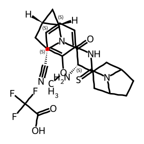 COc1ccccc1NC(=S)N1C2CCC1CC([C@H](N)C(=O)N1[C@H](C#N)C[C@@H]3C[C@@H]31)C2.O=C(O)C(F)(F)F